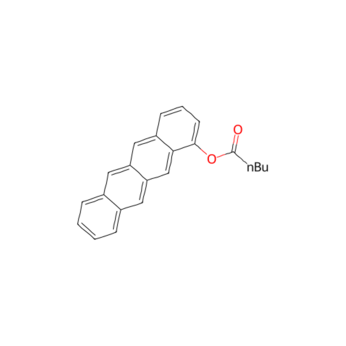 CCCCC(=O)Oc1cccc2cc3cc4ccccc4cc3cc12